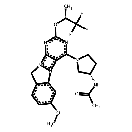 COc1ccc2c(c1)-n1c3c(N4CC[C@H](NC(C)=O)C4)nc(O[C@@H](C)C(F)(F)F)nc3n1C2